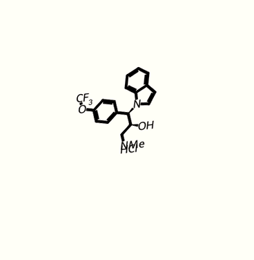 CNC[C@H](O)[C@@H](c1ccc(OC(F)(F)F)cc1)n1ccc2ccccc21.Cl